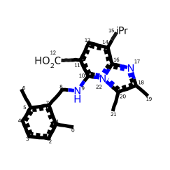 Cc1cccc(C)c1CNc1c(C(=O)O)cc(C(C)C)c2nc(C)c(C)n12